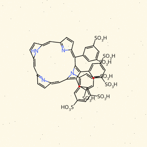 O=S(=O)(O)c1cc(-c2c(-c3cc(S(=O)(=O)O)cc(S(=O)(=O)O)c3)c3c(-c4cc(S(=O)(=O)O)cc(S(=O)(=O)O)c4)c4nc(cc5ccc(cc6nc(cc2n3-c2cc(S(=O)(=O)O)cc(S(=O)(=O)O)c2)C=C6)[nH]5)C=C4)cc(S(=O)(=O)O)c1